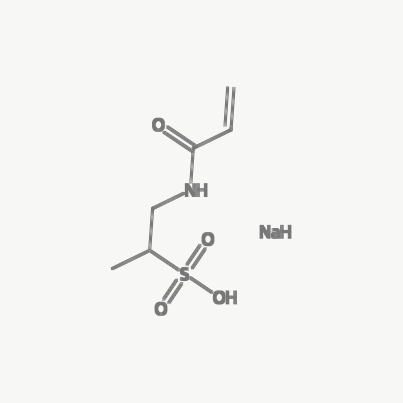 C=CC(=O)NCC(C)S(=O)(=O)O.[NaH]